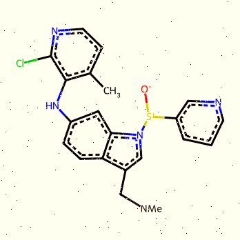 CNCc1cn([S+]([O-])c2cccnc2)c2cc(Nc3c(C)ccnc3Cl)ccc12